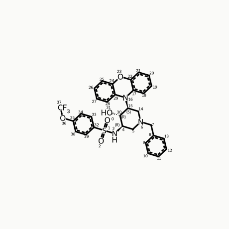 O=S(=O)(N[C@@H]1CN(Cc2ccccc2)C[C@H](N2c3ccccc3Oc3ccccc32)[C@H]1O)c1ccc(OC(F)(F)F)cc1